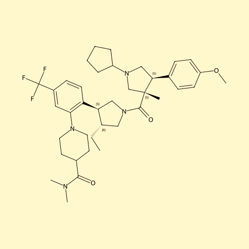 CC[C@H]1CN(C(=O)[C@]2(C)CN(C3CCCC3)C[C@H]2c2ccc(OC)cc2)C[C@@H]1c1ccc(C(F)(F)F)cc1N1CCC(C(=O)N(C)C)CC1